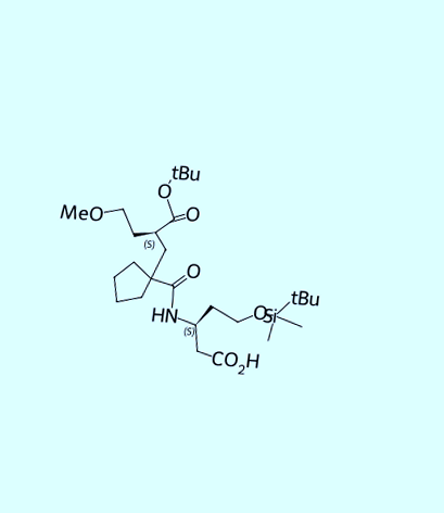 COCC[C@H](CC1(C(=O)N[C@@H](CCO[Si](C)(C)C(C)(C)C)CC(=O)O)CCCC1)C(=O)OC(C)(C)C